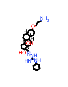 C[C@]12CC[C@H](OCCCN)C[C@H]1CC[C@@H]1[C@@H]2CC[C@]2(C)[C@@](O)(/C=N/NC(=N)Nc3ccccc3)CC[C@]12O